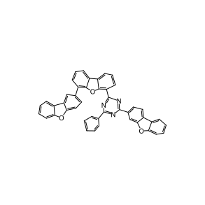 c1ccc(-c2nc(-c3ccc4c(c3)oc3ccccc34)nc(-c3cccc4c3oc3c(-c5ccc6oc7ccccc7c6c5)cccc34)n2)cc1